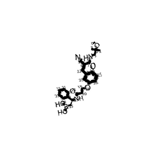 COC(C)(C)CNC(=O)C(C#N)=Cc1cccc(OCCC(=O)N[C@@H](CB(O)O)c2ccccc2)c1